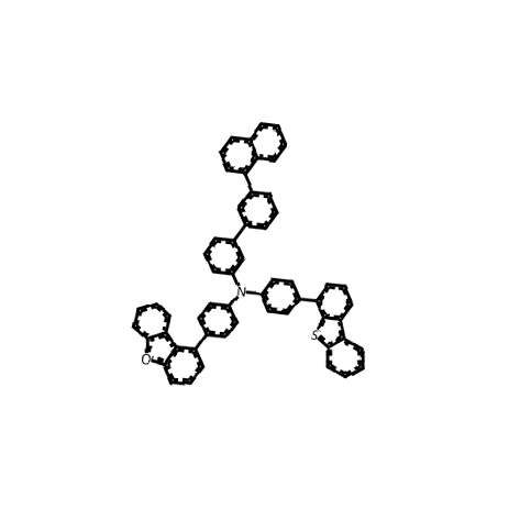 c1cc(-c2cccc(N(c3ccc(-c4cccc5c4sc4ccccc45)cc3)c3ccc(-c4cccc5oc6ccccc6c45)cc3)c2)cc(-c2cccc3ccccc23)c1